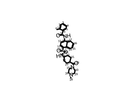 Cc1ccccc1C(=O)Nc1ccc(S(=O)(=O)NC2CCC(C(=O)N3CCN(C)CC3)CC2)c2ccccc12